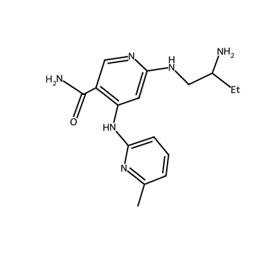 CCC(N)CNc1cc(Nc2cccc(C)n2)c(C(N)=O)cn1